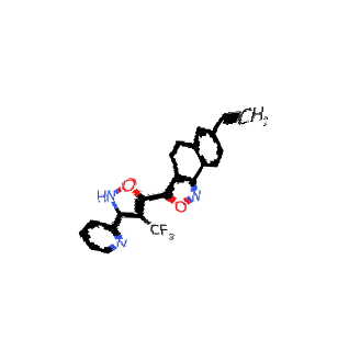 C=Cc1ccc2c(c1)CCc1c-2noc1C1=C(C(F)(F)F)C(c2ccccn2)NO1